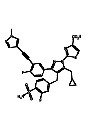 Cn1cc(C#Cc2cc(-c3nn(-c4nc(C(=O)O)cs4)c(CC4CC4)c3Cc3ccc(S(N)(=O)=O)c(F)c3)ccc2F)cn1